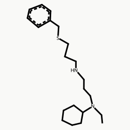 CCN(CCCNCCCSCc1ccccc1)C1CCCCC1